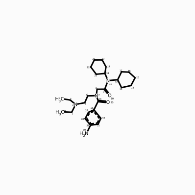 CCN(CC)CCN(CC(=O)N(C1CCCCC1)C1CCCCC1)C(=O)c1ccc(N)cc1